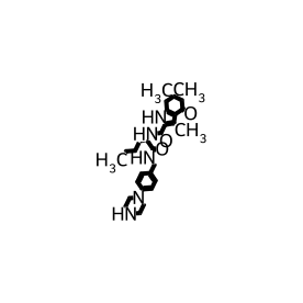 CCCC[C@H](NC(=O)c1[nH]c2c(c1C)C(=O)CC(C)(C)C2)C(=O)NCc1ccc(N2CCNCC2)cc1